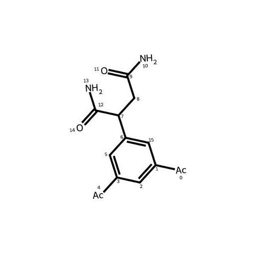 CC(=O)c1cc(C(C)=O)cc(C(CC(N)=O)C(N)=O)c1